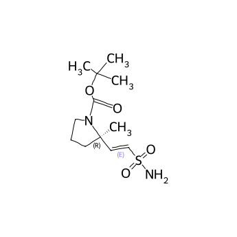 CC(C)(C)OC(=O)N1CCC[C@]1(C)/C=C/S(N)(=O)=O